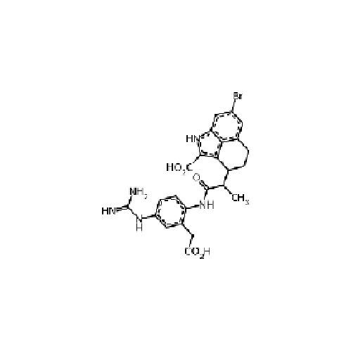 CC(C(=O)Nc1ccc(NC(=N)N)cc1CC(=O)O)C1CCc2cc(Br)cc3[nH]c(C(=O)O)c1c23